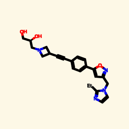 CCc1nccn1Cc1cc(-c2ccc(C#CC3CN(C[C@H](O)CO)C3)cc2)on1